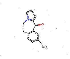 O=C1c2cc([N+](=O)[O-])ccc2CCn2cccc21